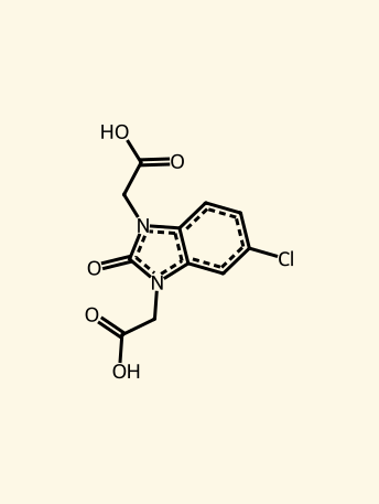 O=C(O)Cn1c(=O)n(CC(=O)O)c2cc(Cl)ccc21